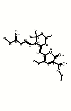 CCOC(=O)c1cc(CC)c(/C=C2\CC(C)CC(C)(C)N2/C=C/CC(=N)CC)oc1=O